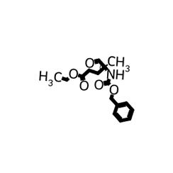 CCOC(=O)CC[C@@](C)(C=O)NC(=O)OCc1ccccc1